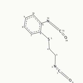 O=C=NCCSc1ccccc1N=C=O